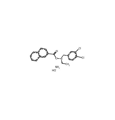 CC[C@H](Cc1ccc(Cl)c(Cl)c1)OC(=O)c1ccc2ccccc2c1.Cl.N